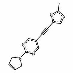 Cc1nc(C#Cc2cnc(N3CC=CC3)nc2)cs1